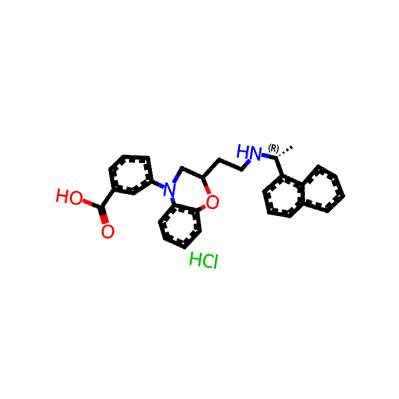 C[C@@H](NCCC1CN(c2cccc(C(=O)O)c2)c2ccccc2O1)c1cccc2ccccc12.Cl